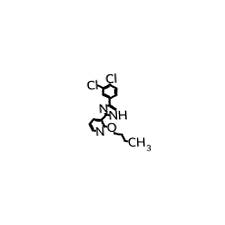 CCCCOc1ncccc1-c1nc(-c2ccc(Cl)c(Cl)c2)c[nH]1